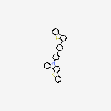 c1ccc2c(c1)sc1c(-c3ccc(-c4ccc(-n5c6ccccc6c6c7sc8ccccc8c7ccc65)cc4)cc3)cccc12